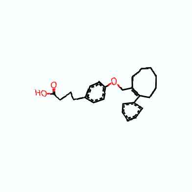 O=C(O)CCCc1ccc(OCC2=C(c3ccccc3)CCCCCC2)cc1